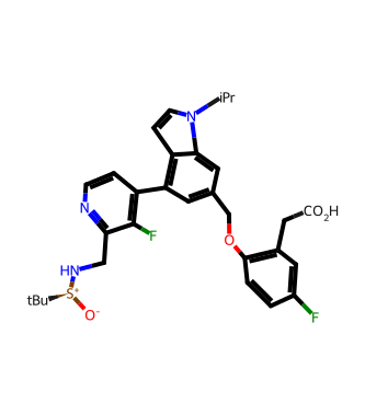 CC(C)n1ccc2c(-c3ccnc(CN[S@@+]([O-])C(C)(C)C)c3F)cc(COc3ccc(F)cc3CC(=O)O)cc21